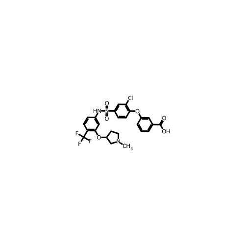 CN1CCC(Oc2cc(NS(=O)(=O)c3ccc(Oc4cccc(C(=O)O)c4)c(Cl)c3)ccc2C(F)(F)F)C1